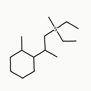 CCS(C)(CC)CC(C)C1CCCCC1C